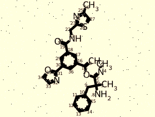 C=C(O/C(=N\C)C(C)(N)Cc1ccccc1)c1cc(C(=O)NCc2nc(C)cs2)cc(-c2ncco2)c1